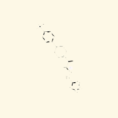 C/C(=N\Nc1nnn[nH]1)C(=O)N1CCC(c2ccc(C(F)(F)F)cc2)CC1